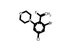 C=C(F)c1c(Br)cc(Cl)cc1N1CCOCC1